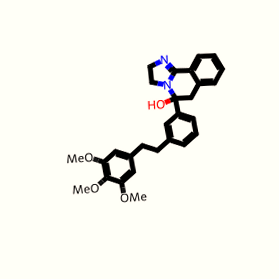 COc1cc(CCc2cccc(C3(O)Cc4ccccc4C4=NCCN43)c2)cc(OC)c1OC